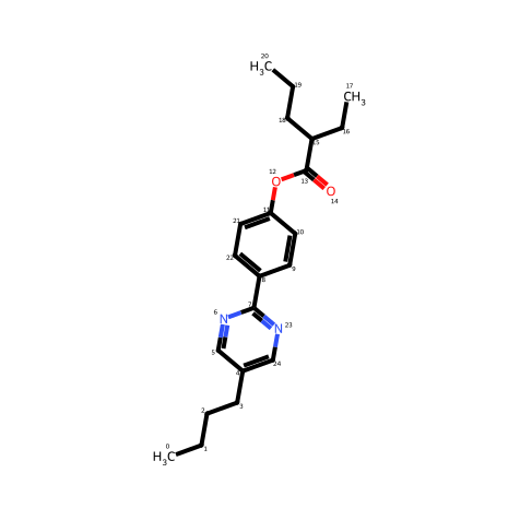 CCCCc1cnc(-c2ccc(OC(=O)C(CC)CCC)cc2)nc1